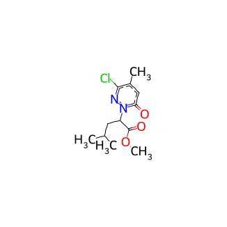 COC(=O)C(CC(C)C)n1nc(Cl)c(C)cc1=O